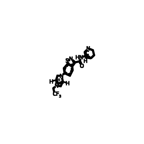 O=C(N[C@H]1CN2CCC1CC2)c1nsc2cc(N3C[C@@H]4C[C@H]3CN4CC(F)(F)F)ccc12